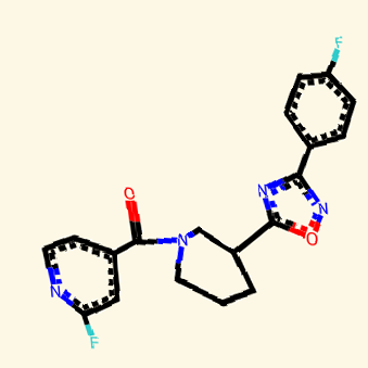 O=C(c1ccnc(F)c1)N1CCCC(c2nc(-c3ccc(F)cc3)no2)C1